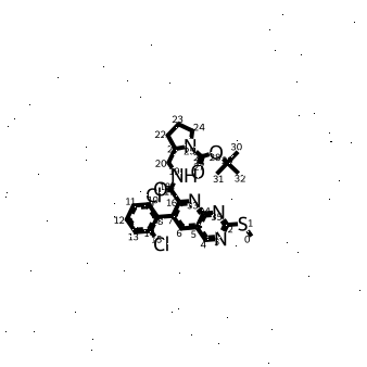 CSc1ncc2cc(-c3c(Cl)cccc3Cl)c(C(=O)NCC3CCCN3C(=O)OC(C)(C)C)nc2n1